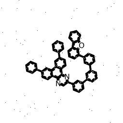 c1ccc(-c2ccc3c(c2)c2cc(-c4ccccc4)ccc2c2nc(-c4cccc(-c5cccc(-c6cccc(-c7cccc8c7oc7ccccc78)c6)c5)c4)cnc32)cc1